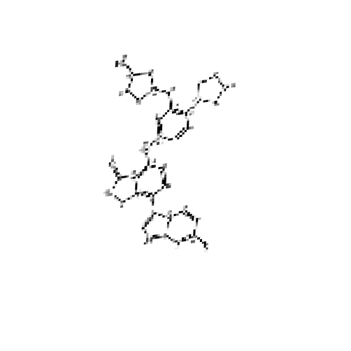 O=C1NCc2c(-c3cnc4cc(F)ccn34)ccc(Nc3ccc(C4CCOC4)c(CN4CCC(O)C4)n3)c21